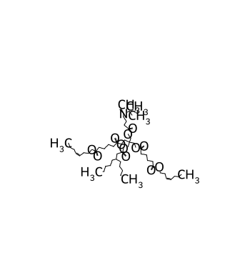 CCC/C=C\CCOC(=O)CCCCC(=O)OCC(COC(=O)CCCCC(=O)OCC/C=C\CCC)(COC(=O)CCCN(CC)C(C)C)COC(=O)CC(CCCCC)CCCCC